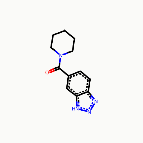 O=C(c1ccc2nn[nH]c2c1)N1CC[CH]CC1